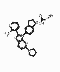 CC(C)(C)OC(=O)N[C@H]1CCc2cc(-n3c(-c4cccnc4N)nc4ccc(N5CCCC5)nc43)ccc21